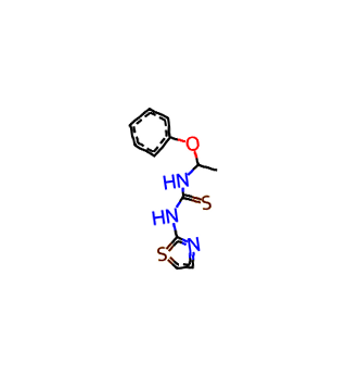 CC(NC(=S)Nc1nccs1)Oc1ccccc1